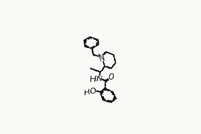 CC(NC(=O)c1ccccc1O)C1CCCCN1Cc1ccccc1